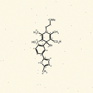 COCCN1C(C)=C(C(=O)O)C(c2cccc(-c3nnc(C)o3)c2)(C(C)C)C(C(=O)O)=C1C